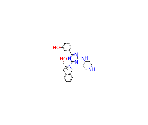 OC[C@H]1Cc2ccccc2CN1c1nc(NC2CCNCC2)nc(-c2cccc(O)c2)n1